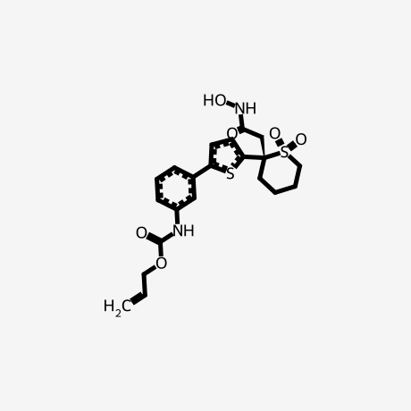 C=CCOC(=O)Nc1cccc(-c2ccc([C@@]3(CC(=O)NO)CCCCS3(=O)=O)s2)c1